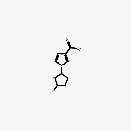 O=C(O)c1ccn(C2CCC(F)C2)c1